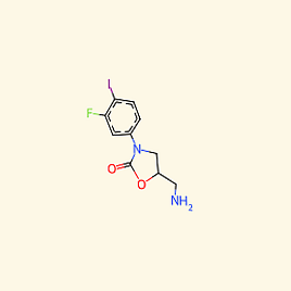 NCC1CN(c2ccc(I)c(F)c2)C(=O)O1